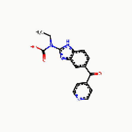 CCN(C(=O)O)c1nc2cc(C(=O)c3ccncc3)ccc2[nH]1